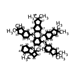 CC1(C)Cc2ccc(N3c4cc5c(cc4B4c6cc7c(cc6N(c6ccc8c(c6)CC(C)(C)C8)c6cc(N8c9ccccc9C9(C)CCC89C)cc3c64)CC(C)(C)C7)CC(C)(C)C5)cc2C1